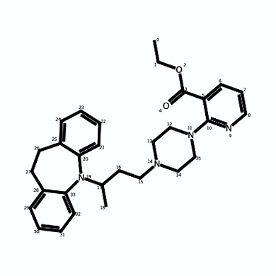 CCOC(=O)c1cccnc1N1CCN(CCC(C)N2c3ccccc3CCc3ccccc32)CC1